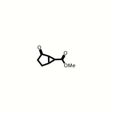 COC(=O)C1C2CCC(=O)C21